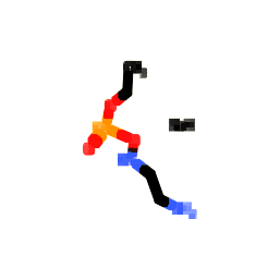 CCO[PH](=O)ONCCN.[NaH]